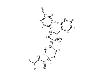 CC(C)NC(=O)C1(C)COC(c2nc(-c3ccc(F)cc3)c(-c3ccn[c]n3)[nH]2)OC1